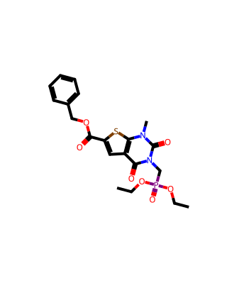 CCOP(=O)(Cn1c(=O)c2cc(C(=O)OCc3ccccc3)sc2n(C)c1=O)OCC